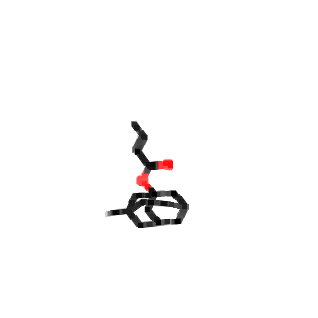 CC=CC(=O)OC12CC3CC(CC(C)(C3)C1)C2